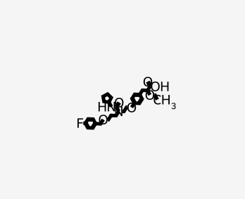 CCOC(Cc1ccc(OCCN(CCCOCc2ccc(F)cc2)C(=O)NC2CCCC2)cc1)C(=O)O